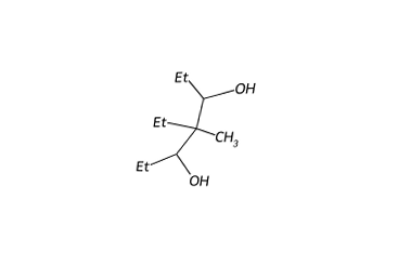 CCC(O)C(C)(CC)C(O)CC